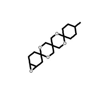 CC1CCC2(CC1)OCC1(CO2)COC2(CCC3OC3C2)OC1